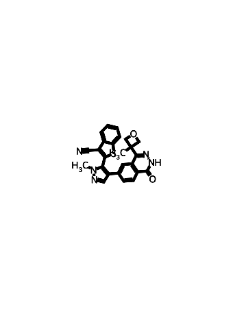 Cn1ncc(-c2ccc3c(=O)[nH]nc(C4(C)COC4)c3c2)c1-c1sc2ccccc2c1C#N